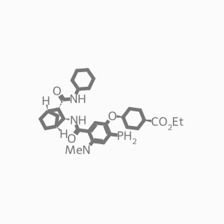 CCOC(=O)[C@H]1CC[C@@H](Oc2cc(C(=O)N[C@@H]3[C@H]4CC[C@H](C4)[C@@H]3C(=O)NC3CCCCC3)c(NC)cc2P)CC1